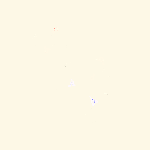 O=c1c2ccccc2oc2cc3c(cc12)-c1ccccc1-c1cc2oc4ccccc4c(=O)c2cc1-c1cc(-n2c4ccccc4c4cc(-n5c6ccccc6c6ccccc65)ccc42)ccc1-3